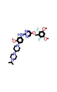 COc1cc(Nc2ncc(OCc3c(F)c(OC)cc(OC)c3F)cn2)ccc1N1CCC(N2CCN(C(C)C)CC2)CC1